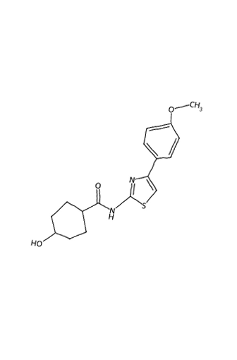 COc1ccc(-c2csc(NC(=O)C3CCC(O)CC3)n2)cc1